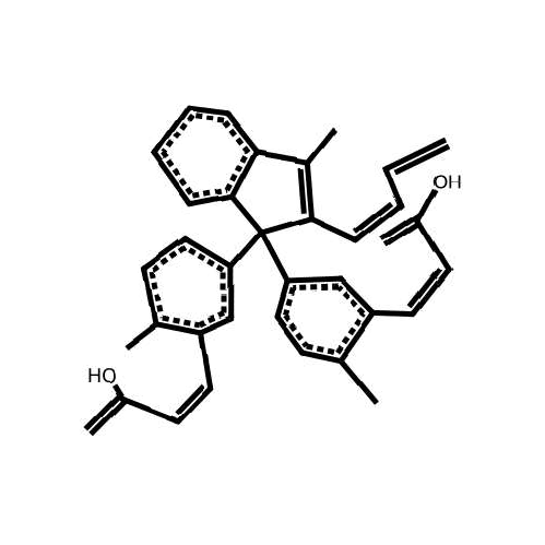 C=C/C=C\C1=C(C)c2ccccc2C1(c1ccc(C)c(/C=C\C(=C)O)c1)c1ccc(C)c(/C=C\C(=C)O)c1